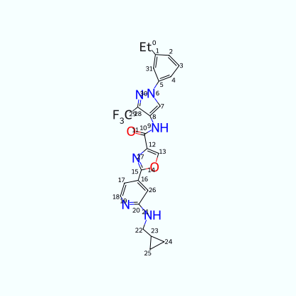 CCc1cccc(-n2cc(NC(=O)c3coc(-c4ccnc(NCC5CC5)c4)n3)c(C(F)(F)F)n2)c1